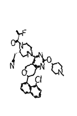 C=C(F)C(=O)N1CCN(c2nc(OC3CCN(C)CC3)nc3c2COC(c2cccc4cccc(Cl)c24)C3)C[C@@H]1CC#N